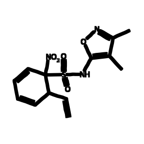 C=CC1C=CC=CC1([N+](=O)[O-])S(=O)(=O)Nc1onc(C)c1C